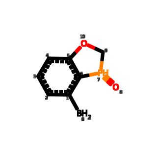 Bc1cccc2c1[PH](=O)CO2